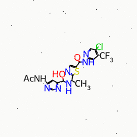 CC(=O)Nc1cc(C(O)NC(C)c2ncc(C(=O)Nc3cc(C(F)(F)F)c(Cl)cn3)s2)ncn1